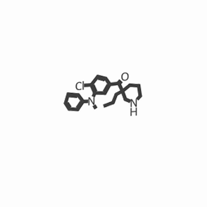 CCCC1(C(=O)c2ccc(Cl)c(N(C)c3ccccc3)c2)CCCNC1